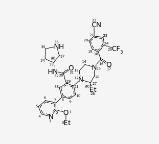 CCOc1ncccc1-c1ccc(N2CCN(C(=O)c3ccc(C#N)cc3C(F)(F)F)C[C@H]2CC)c(C(=O)N[C@@H]2CCNC2)c1